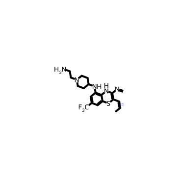 C=NC1=C(/C=C\C)Sc2cc(C(F)(F)F)cc(NC3CCN(CCN)CC3)c2N1